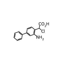 Nc1cc(-c2ccccc2)ccc1C(Cl)C(=O)O